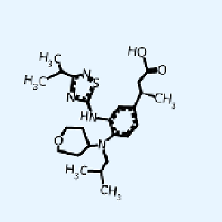 CC(C)CN(c1ccc([C@H](C)CC(=O)O)cc1Nc1nc(C(C)C)ns1)C1CCOCC1